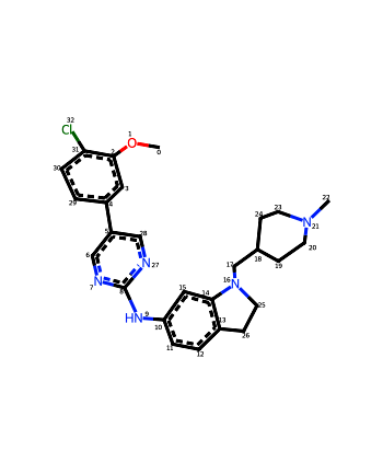 COc1cc(-c2cnc(Nc3ccc4c(c3)N(CC3CCN(C)CC3)CC4)nc2)ccc1Cl